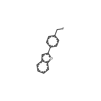 FCc1ccc(-c2cc3ccccc3o2)cc1